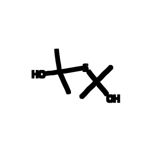 CC(C)(O)SC(C)(C)O